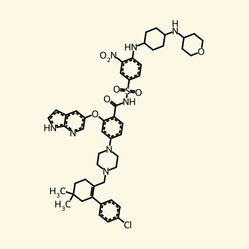 CC1(C)CCC(CN2CCN(c3ccc(C(=O)NS(=O)(=O)c4ccc(NC5CCC(NC6CCOCC6)CC5)c([N+](=O)[O-])c4)c(Oc4cnc5[nH]ccc5c4)c3)CC2)=C(c2ccc(Cl)cc2)C1